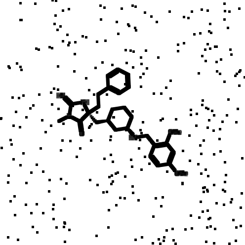 COc1ccc(CN[C@@H]2CCC[C@H](C[C@@]3(CCc4ccccc4)NC(=N)N(C)C3=O)C2)c(OC)c1